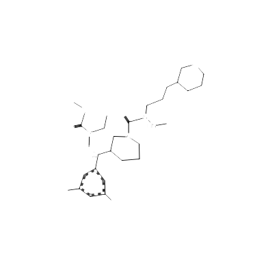 CCN(O[C@@H](c1cc(F)cc(Cl)c1)C1CCCN(C(=O)N(CCCC2CCCOC2)NC)C1)C(=O)OC